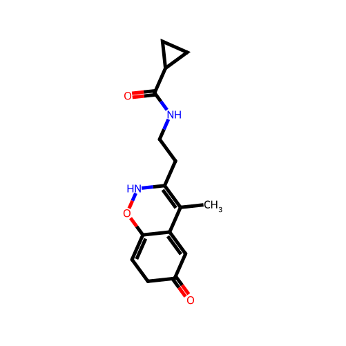 CC1=C(CCNC(=O)C2CC2)NOC2=CCC(=O)C=C21